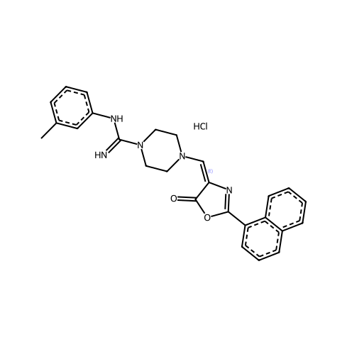 Cc1cccc(NC(=N)N2CCN(/C=C3/N=C(c4cccc5ccccc45)OC3=O)CC2)c1.Cl